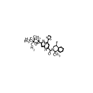 C[C@@H]1c2ccccc2C(F)CN1C(=O)c1cc(-c2nccs2)n2nc(B3OC(C)(C)C(C)(C)O3)cc2n1